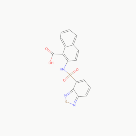 O=C(O)c1c(NS(=O)(=O)c2cccc3nsnc23)ccc2ccccc12